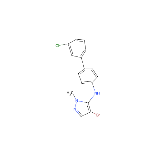 Cn1ncc(Br)c1Nc1ccc(-c2cccc(Cl)c2)cc1